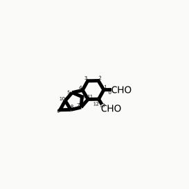 O=CC1CCC2C3CC(C4CC34)C2C1C=O